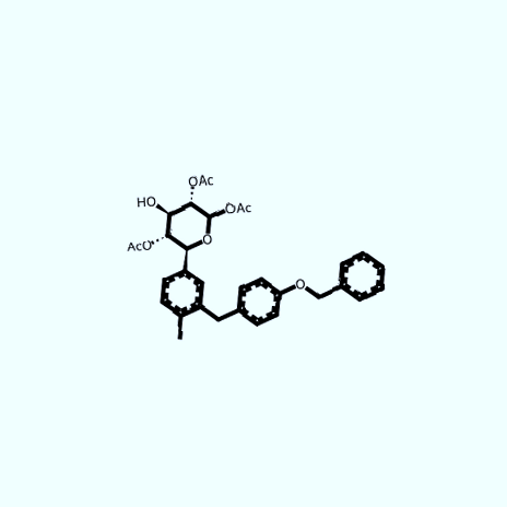 CC(=O)OC1O[C@@H](c2ccc(C)c(Cc3ccc(OCc4ccccc4)cc3)c2)[C@H](OC(C)=O)[C@@H](O)[C@@H]1OC(C)=O